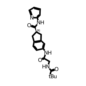 CC(C)(C)C(=O)NCC(=O)Nc1ccc2c(c1)C[C@H](C(=O)Nc1ccccn1)C2